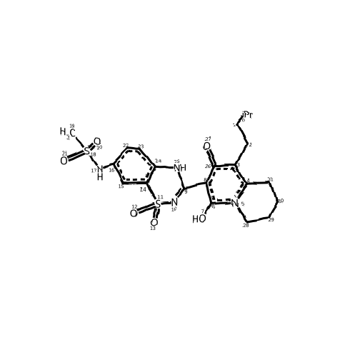 CC(C)CCc1c2n(c(O)c(C3=NS(=O)(=O)c4cc(NS(C)(=O)=O)ccc4N3)c1=O)CCCC2